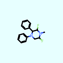 CN1C(F)CN(c2ccccc2)C(c2ccccc2)C1F